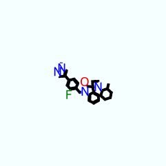 CC1CCCCC1N1CCC12C(=O)N(Cc1ccc(-c3cnn(C)c3)cc1F)c1ccccc12